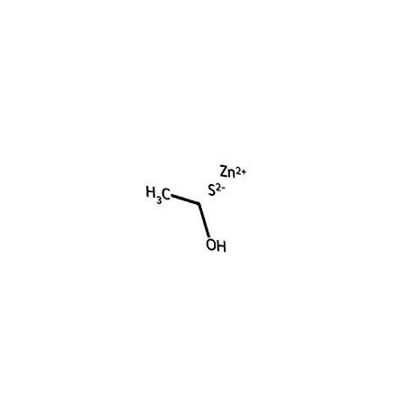 CCO.[S-2].[Zn+2]